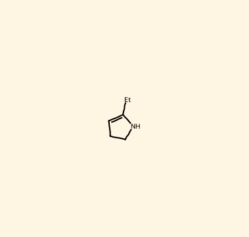 CCC1=CCCN1